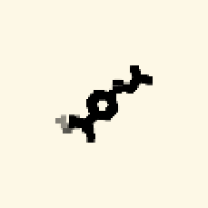 CC(C)COc1ccc(C(N)=S)cc1